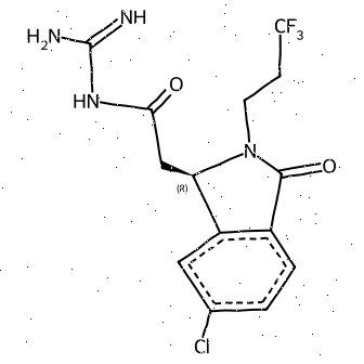 N=C(N)NC(=O)C[C@@H]1c2cc(Cl)ccc2C(=O)N1CCC(F)(F)F